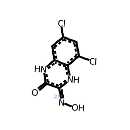 O=c1[nH]c2cc(Cl)cc(Cl)c2[nH]/c1=N\O